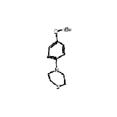 CCCCOc1ccc(N2CCSCC2)cc1